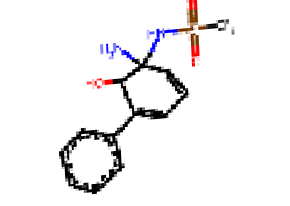 NC1(NS(=O)(=O)C(F)(F)F)C=CC=C(c2ccccc2)C1O